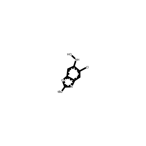 CC(C)(C)c1nc2cc(Cl)c(NO)cc2o1